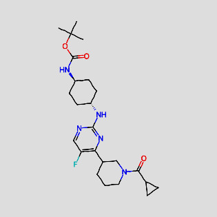 CC(C)(C)OC(=O)N[C@H]1CC[C@H](Nc2ncc(F)c(C3CCCN(C(=O)C4CC4)C3)n2)CC1